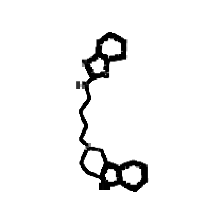 c1ccc2sc(NCCCCN3CCc4[nH]c5ccccc5c4C3)nc2c1